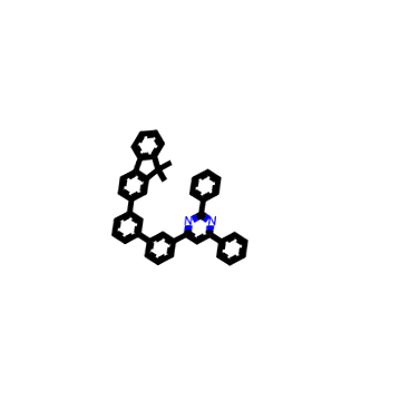 CC1(C)c2ccccc2-c2ccc(-c3cccc(-c4cccc(-c5cc(-c6ccccc6)nc(-c6ccccc6)n5)c4)c3)cc21